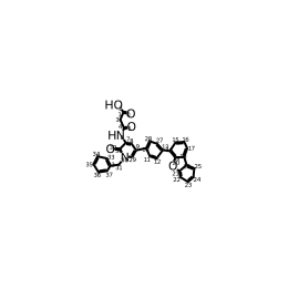 O=C(O)CC(=O)Nc1cc(-c2ccc(-c3cccc4c3oc3ccccc34)cc2)cn(Cc2ccccc2)c1=O